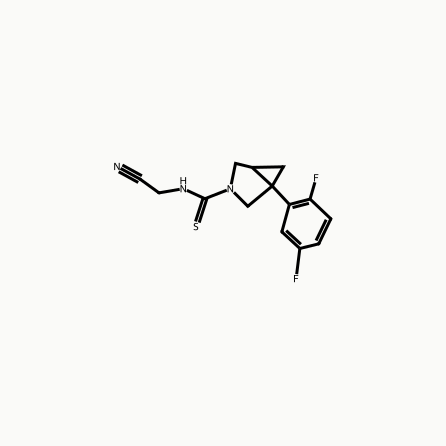 N#CCNC(=S)N1CC2CC2(c2cc(F)ccc2F)C1